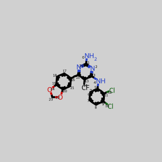 Nc1nc(Nc2cccc(Cl)c2Cl)c(C(F)(F)F)c(-c2ccc3c(c2)OCO3)n1